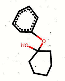 OC1(Oc2ccccc2)CCCCC1